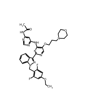 CCOc1cc(F)c(Cn2nc(-c3ncc(OCCCN4CCOCC4)c(Nc4cc(NC(C)=O)ncn4)n3)c3ccccc32)c(F)c1